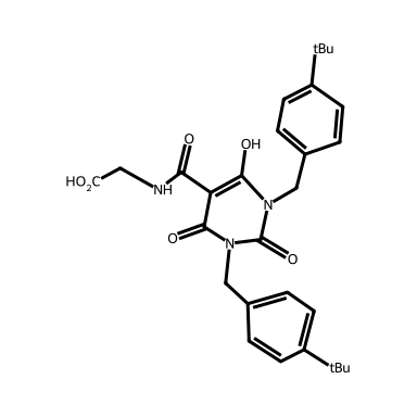 CC(C)(C)c1ccc(Cn2c(O)c(C(=O)NCC(=O)O)c(=O)n(Cc3ccc(C(C)(C)C)cc3)c2=O)cc1